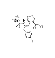 CC(C)(C)[Si](C)(C)OC1(c2nc3c(cc2Cc2ccc(F)cc2)N(C(=O)CCl)CCO3)CC1